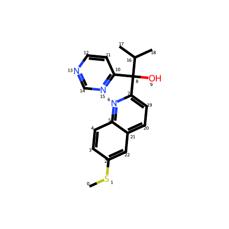 CSc1ccc2nc(C(O)(c3ccncn3)C(C)C)ccc2c1